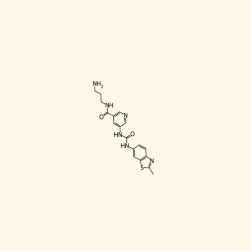 Cc1nc2ccc(NC(=O)Nc3cncc(C(=O)NCCCN)c3)cc2s1